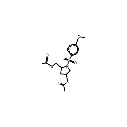 COc1ccc(S(=O)(=O)N2CC(SC(C)=O)CC2CSC(C)=O)cc1